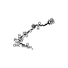 CC(C)[C@H](NC(=O)COCC(=O)NCCOCCn1cc(CNC(=O)CCCC#Cc2cnc(S(C)(=O)=O)nc2)nn1)C(=O)N[C@H](C=O)CCCNC(N)=O